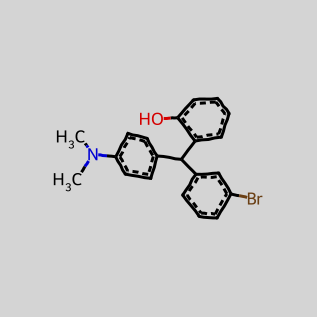 CN(C)c1ccc(C(c2cccc(Br)c2)c2ccccc2O)cc1